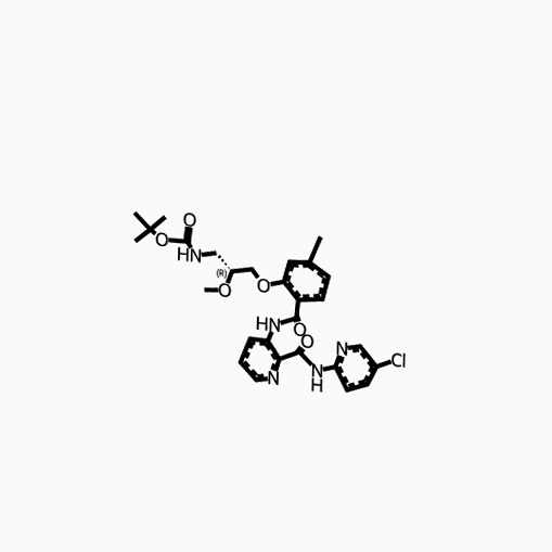 CO[C@H](CNC(=O)OC(C)(C)C)COc1cc(C)ccc1C(=O)Nc1cccnc1C(=O)Nc1ccc(Cl)cn1